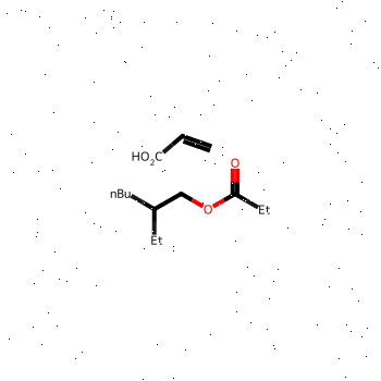 C=CC(=O)O.CCCCC(CC)COC(=O)CC